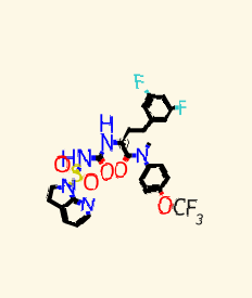 CN(C(=O)[C@H](CCc1cc(F)cc(F)c1)NC(=O)NS(=O)(=O)N1CCc2cccnc21)c1ccc(OC(F)(F)F)cc1